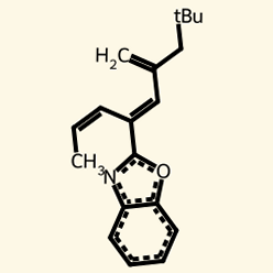 C=C(/C=C(\C=C/C)c1nc2ccccc2o1)CC(C)(C)C